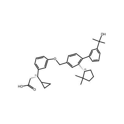 CC(C)(O)c1cccc(-c2ccc(COc3cccc([C@@H](CC(=O)O)C4CC4)c3)cc2[C@@H]2CCCC2(C)C)c1